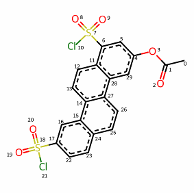 CC(=O)Oc1cc(S(=O)(=O)Cl)c2ccc3c4cc(S(=O)(=O)Cl)ccc4ccc3c2c1